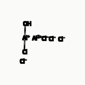 [Al+3].[Cl-].[Cl-].[Cl-].[Cl-].[OH][Al+][Cl]